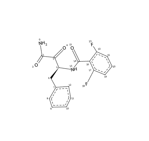 NC(=O)C(=O)[C@H](Cc1ccccc1)NC(=O)c1c(F)cccc1F